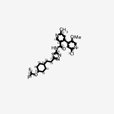 COc1cnc(Cl)cc1-c1cc(C)ncc1C(=O)Nc1nnc(CCC2CCC(OC(F)F)CC2)s1